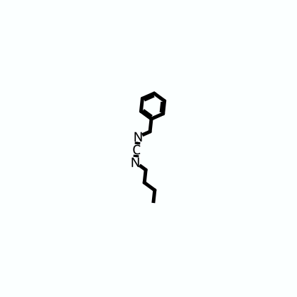 CCCCN=C=NCc1ccccc1